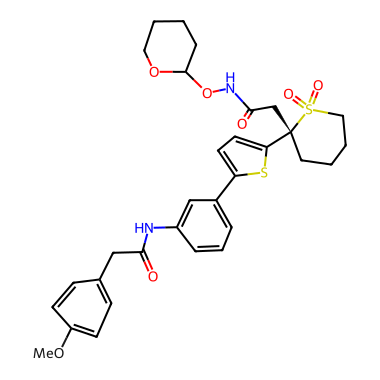 COc1ccc(CC(=O)Nc2cccc(-c3ccc([C@@]4(CC(=O)NOC5CCCCO5)CCCCS4(=O)=O)s3)c2)cc1